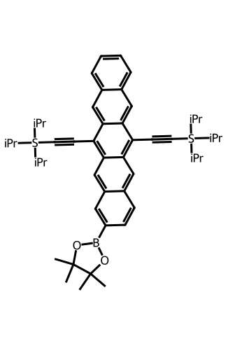 CC(C)S(C#Cc1c2cc3ccccc3cc2c(C#CS(C(C)C)(C(C)C)C(C)C)c2cc3cc(B4OC(C)(C)C(C)(C)O4)ccc3cc12)(C(C)C)C(C)C